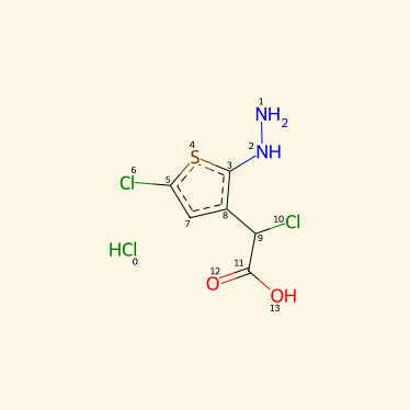 Cl.NNc1sc(Cl)cc1C(Cl)C(=O)O